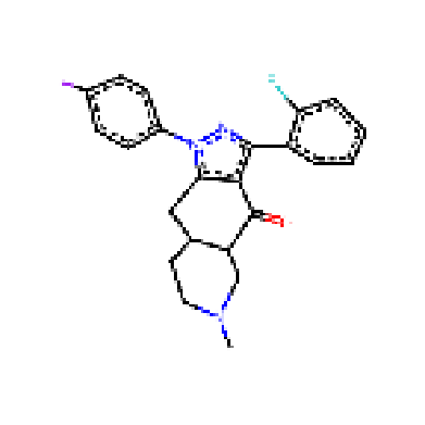 CN1CCC2Cc3c(c(-c4ccccc4F)nn3-c3ccc(I)cc3)C(=O)C2C1